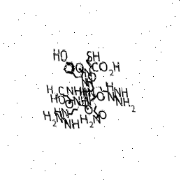 C[C@@H](O)[C@H](N)C(=O)N[C@@H](CCCNC(=N)N)C(=O)N[C@@H](CCC(N)=O)C(=O)N[C@@H](CCCNC(=N)N)C(=O)N[C@@H](Cc1ccc(O)cc1)C(=O)N[C@@H](CS)C(=O)O